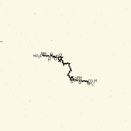 CC(C=CC=C(C)C=CC1=C(C)C(=O)C(OC(=O)CNC(=O)NCCCCC(N)C(=O)O)CC1(C)C)=CC=CC=C(C)C=CC=C(C)C=CC1=C(C)C(=O)C(OC(=O)CNC(=O)NCCCCC(N)C(=O)O)CC1(C)C